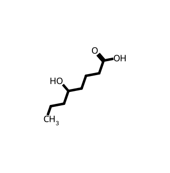 CCCC(O)CCCC(=O)O